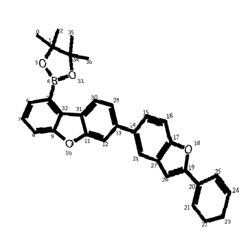 CC1(C)OB(c2cccc3oc4cc(-c5ccc6oc(C7=CCCC=C7)cc6c5)ccc4c23)OC1(C)C